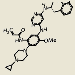 C=CC(=O)Nc1cc(Nc2cc(N3OCC[C@@H]3Cc3cccc(F)c3Cl)ncn2)c(OC)cc1N1CCN(C2CC2)CC1